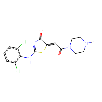 CCN1CCN(C(=O)C=C2SC(Nc3c(Cl)cccc3Cl)=NC2=O)CC1